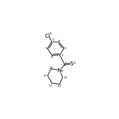 S=C(c1ccc(Cl)cc1)N1CCCCC1